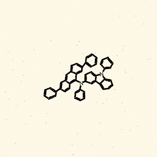 c1ccc(-c2ccc3c(N(c4ccccc4)c4ccc5c(c4)c4ccccc4n5-c4ccccc4)c4cc(-c5ccccc5)ccc4cc3c2)cc1